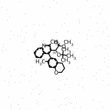 COC(=O)[C@@H](OC(C)(C)C)c1c(C)nc2ccccc2c1-c1cc2c(cc1C)OCCC2